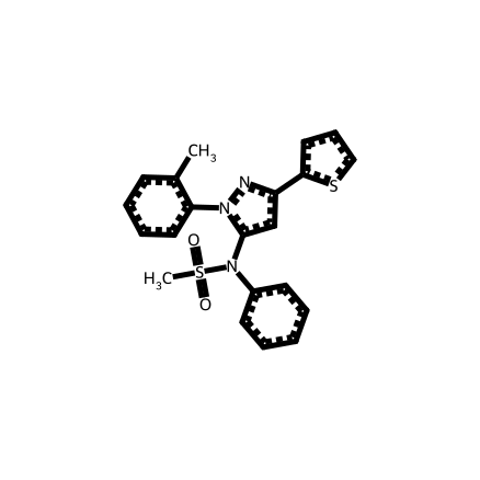 Cc1ccccc1-n1nc(-c2cccs2)cc1N(c1ccccc1)S(C)(=O)=O